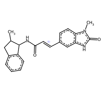 CC1Cc2ccccc2C1NC(=O)/C=C/c1ccc2c(c1)[nH]c(=O)n2C